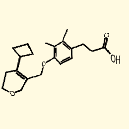 Cc1c(CCC(=O)O)ccc(OCC2=C(C3CCC3)CCOC2)c1C